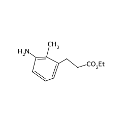 CCOC(=O)CCc1cccc(N)c1C